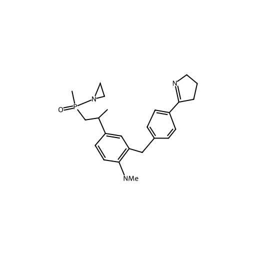 CNc1ccc(C(C)CP(C)(=O)N2CC2)cc1Cc1ccc(C2=NCCC2)cc1